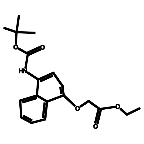 CCOC(=O)COc1ccc(NC(=O)OC(C)(C)C)c2ccccc12